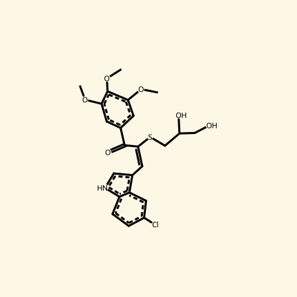 COc1cc(C(=O)/C(=C\c2c[nH]c3ccc(Cl)cc23)SCC(O)CO)cc(OC)c1OC